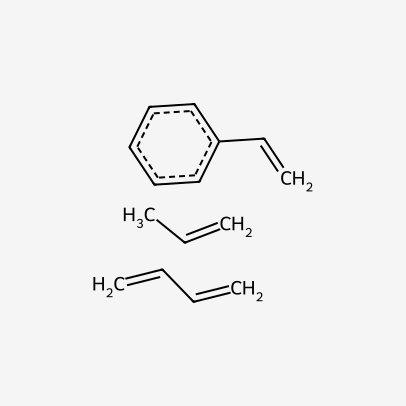 C=CC.C=CC=C.C=Cc1ccccc1